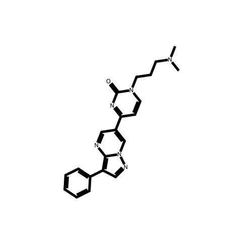 CN(C)CCCn1ccc(-c2cnc3c(-c4ccccc4)cnn3c2)nc1=O